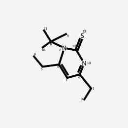 CCc1cc(CC)n(C(C)(C)C)c(=S)n1